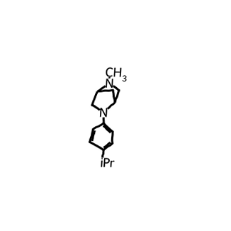 CC(C)c1ccc(N2CC3CC2CN3C)cc1